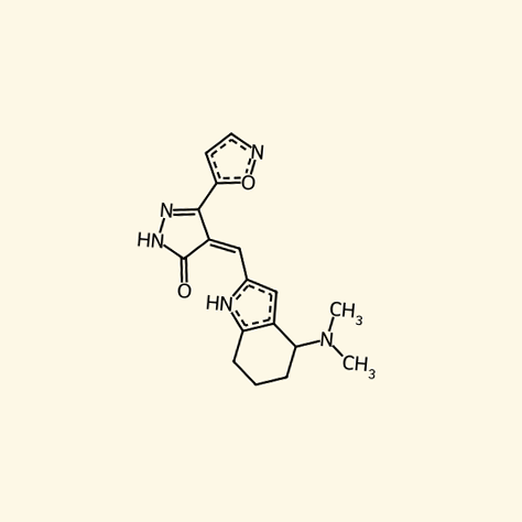 CN(C)C1CCCc2[nH]c(/C=C3\C(=O)NN=C3c3ccno3)cc21